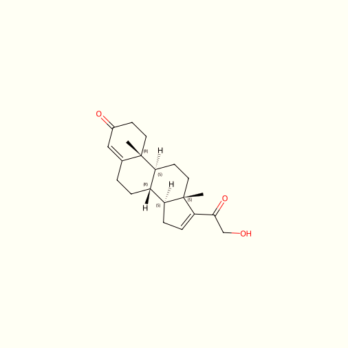 C[C@]12CCC(=O)C=C1CC[C@@H]1[C@@H]2CC[C@]2(C)C(C(=O)CO)=CC[C@@H]12